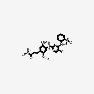 CCN(CC)C(=O)CCc1cc(OC)c(Nc2ncc(Cl)c(Nc3ccccc3P(C)(C)=O)n2)cc1[N+](=O)[O-]